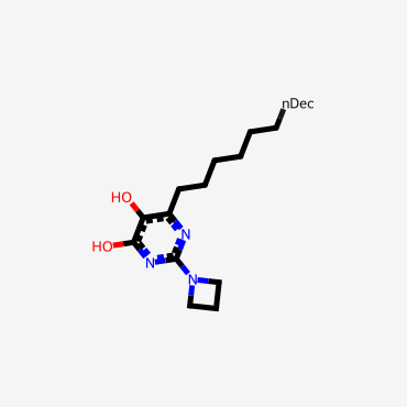 CCCCCCCCCCCCCCCCc1nc(N2CCC2)nc(O)c1O